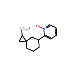 CCOC(=O)C1CC12CCCC(c1cccc[n+]1[O-])C2